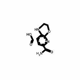 NC(=O)c1ccc2c(n1)OCCN2.O=CO